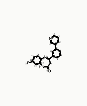 O=C1CC(c2cccc(-c3cccnc3)c2)=Nc2ccc(F)cc2N1